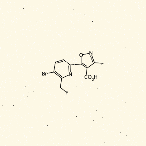 Cc1noc(-c2ccc(Br)c(CF)n2)c1C(=O)O